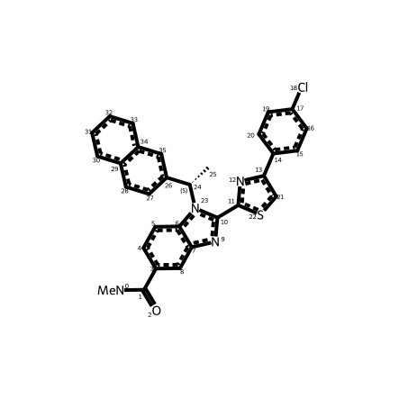 CNC(=O)c1ccc2c(c1)nc(-c1nc(-c3ccc(Cl)cc3)cs1)n2[C@@H](C)c1ccc2ccccc2c1